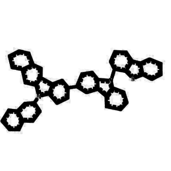 c1ccc2cc(-n3c4ccc(-c5ccc6c(c5)c5ccccc5n6-c5cccc6c5sc5ccccc56)cc4c4cc5ccccc5cc43)ccc2c1